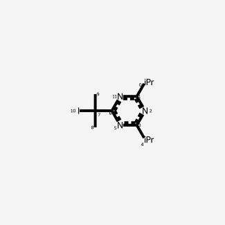 CC(C)c1nc(C(C)C)nc(C(C)(C)I)n1